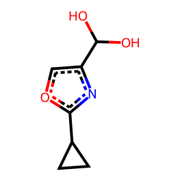 OC(O)c1coc(C2CC2)n1